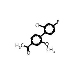 COc1cc(C(C)=O)ccc1-c1ccc(F)cc1Cl